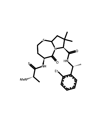 CCc1ccccc1[C@@H](C)NC(=O)[C@H]1N2C(=O)[C@@H](NC(=S)[C@H](C)NC)CCSC2CC1(C)C